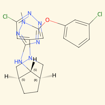 Cn1nc(N[C@@H]2[C@@H]3CC[C@H]2CN(c2cnnc(Cl)c2)C3)nc1Oc1cccc(Cl)c1